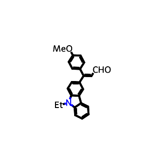 CCn1c2ccccc2c2cc(C(=CC=O)c3ccc(OC)cc3)ccc21